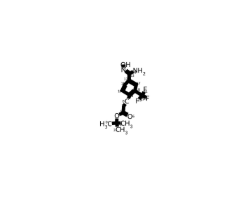 CC(C)(C)OC(=O)CCc1ccc(/C(N)=N/O)cc1C(F)(F)F